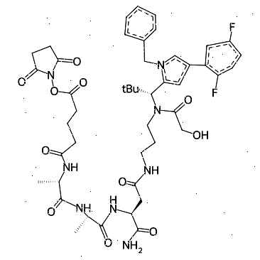 C[C@H](NC(=O)CCCC(=O)ON1C(=O)CCC1=O)C(=O)N[C@@H](C)C(=O)N[C@@H](CC(=O)NCCCN(C(=O)CO)[C@@H](c1cc(-c2cc(F)ccc2F)cn1Cc1ccccc1)C(C)(C)C)C(N)=O